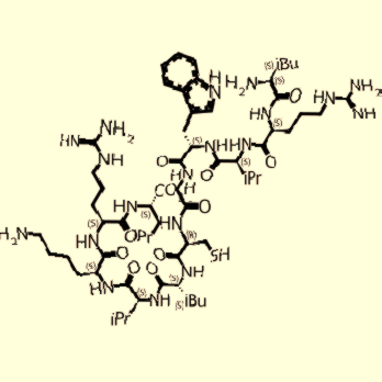 CC[C@H](C)[C@H](N)C(=O)N[C@@H](CCCNC(=N)N)C(=O)N[C@H](C(=O)N[C@@H](Cc1c[nH]c2ccccc12)C(=O)NCC(=O)N[C@@H](CS)C(=O)N[C@H](C(=O)N[C@H](C(=O)N[C@@H](CCCCN)C(=O)N[C@@H](CCCNC(=N)N)C(=O)N[C@@H](CC(C)C)C(=O)O)C(C)C)[C@@H](C)CC)C(C)C